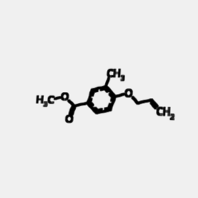 C=CCOc1ccc(C(=O)OC)cc1C